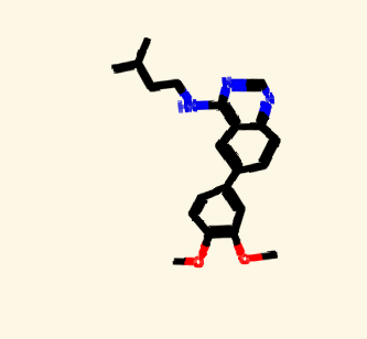 COc1ccc(-c2ccc3ncnc(NCCC(C)C)c3c2)cc1OC